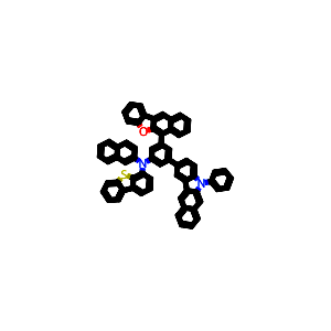 c1ccc(-n2c3ccc(-c4cc(-c5c6ccccc6cc6c5oc5ccccc56)cc(N(c5ccc6ccccc6c5)c5cccc6c5sc5ccccc56)c4)cc3c3cc4ccccc4cc32)cc1